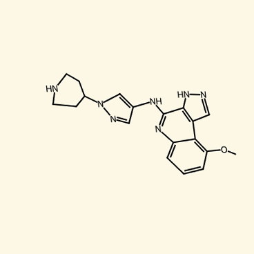 COc1cccc2nc(Nc3cnn(C4CCNCC4)c3)c3[nH]ncc3c12